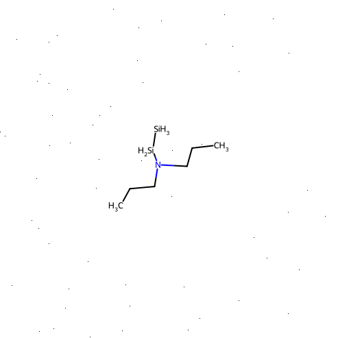 CCCN(CCC)[SiH2][SiH3]